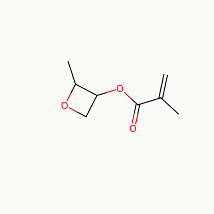 C=C(C)C(=O)OC1COC1C